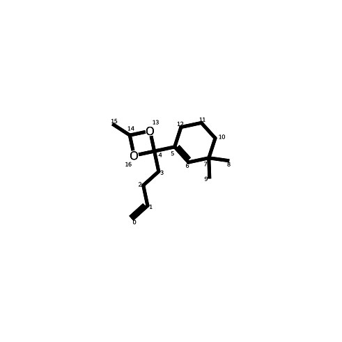 C=CCCC1(C2=CC(C)(C)CCC2)OC(C)O1